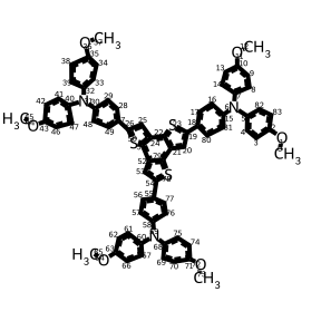 COc1ccc(N(c2ccc(OC)cc2)c2ccc(-c3cc4c(s3)c3cc(-c5ccc(N(c6ccc(OC)cc6)c6ccc(OC)cc6)cc5)sc3c3cc(-c5ccc(N(c6ccc(OC)cc6)c6ccc(OC)cc6)cc5)sc43)cc2)cc1